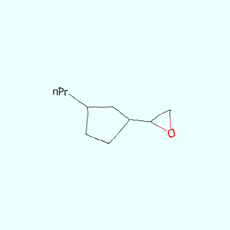 CCCC1CCC(C2CO2)C1